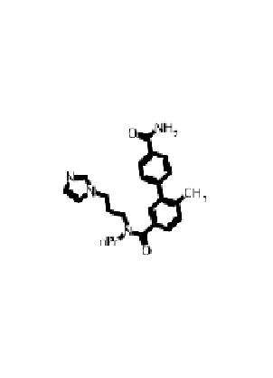 CCCN(CCCn1ccnc1)C(=O)c1ccc(C)c(-c2ccc(C(N)=O)cc2)c1